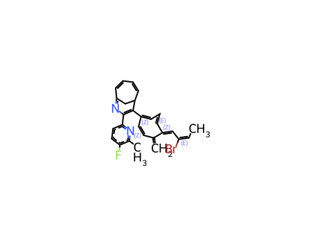 C=C1\C=C/C(C2=C(c3ccc(F)c(C)n3)N=C3C=CC=CC2C3)=C/C=C/C1=C/C(Br)=C\C